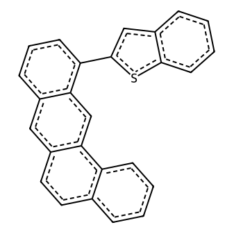 c1ccc2sc(-c3cccc4cc5ccc6ccccc6c5cc34)cc2c1